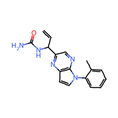 C=CC(NC(N)=O)c1cnc2c(ccn2-c2ccccc2C)n1